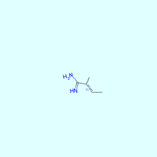 C/C=C(\C)C(=N)N